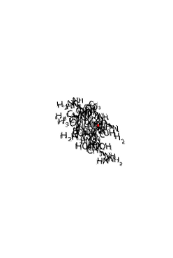 CC[C@H](C)[C@H](NC(=O)[C@H](CC(N)=O)NC(=O)[C@H](CCCNC(=N)N)NC(=O)[C@@H](NC(=O)[C@@H](N)CC(N)=O)[C@@H](C)CC)C(=O)NCC(=O)N[C@@H](CCCCN)C(=O)N[C@H](C(=O)N[C@@H](CC(C)C)C(=O)N[C@H](C(=O)N[C@H](C(=O)N[C@@H](CCCNC(=N)N)C(=O)O)[C@@H](C)O)C(C)C)[C@@H](C)O